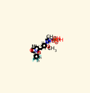 COc1cc(/C=C2\CC[C@H]3COC[C@@H](c4cc(F)c(F)c(F)c4)N3C2=O)ccc1-n1cc(C)[n+](COP(=O)(O)O)c1